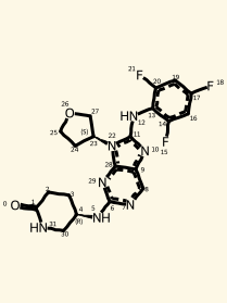 O=C1CC[C@@H](Nc2ncc3nc(Nc4c(F)cc(F)cc4F)n([C@H]4CCOC4)c3n2)CN1